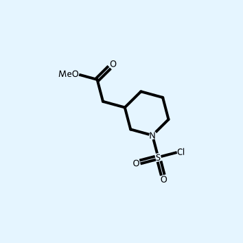 COC(=O)CC1CCCN(S(=O)(=O)Cl)C1